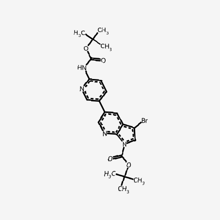 CC(C)(C)OC(=O)Nc1ccc(-c2cnc3c(c2)c(Br)cn3C(=O)OC(C)(C)C)cn1